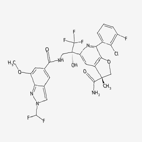 COc1cc(C(=O)NC[C@](O)(c2cc3c(c(-c4cccc(F)c4Cl)n2)OC[C@]3(C)C(N)=O)C(F)(F)F)cc2cn(C(F)F)nc12